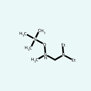 CCN(CC)C[SiH](C)O[Si](C)(C)C